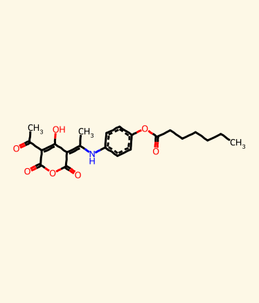 CCCCCCC(=O)Oc1ccc(NC(C)=C2C(=O)OC(=O)C(C(C)=O)=C2O)cc1